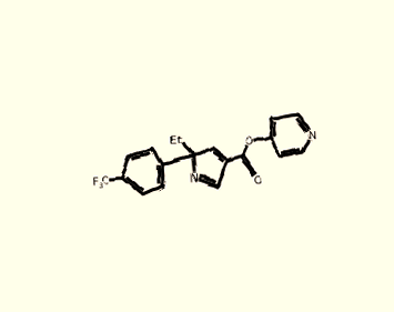 CCC1(c2ccc(C(F)(F)F)cc2)C=C(C(=O)Oc2ccncc2)C=N1